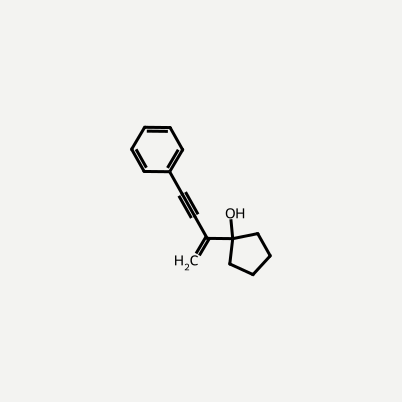 C=C(C#Cc1ccccc1)C1(O)CCCC1